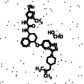 CN(C)CC1CCN(c2nnc3ccc(O[C@@H]4CC[C@H](NC(=O)Nc5cc(C(C)(C)C)nn5C)c5ccccc54)cn23)CC1.O=CO